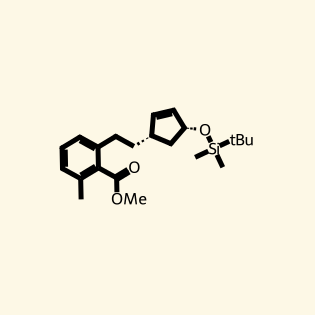 COC(=O)c1c(C)cccc1CC[C@@H]1C=C[C@H](O[Si](C)(C)C(C)(C)C)C1